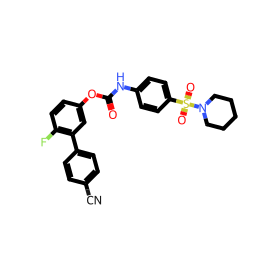 N#Cc1ccc(-c2cc(OC(=O)Nc3ccc(S(=O)(=O)N4CCCCC4)cc3)ccc2F)cc1